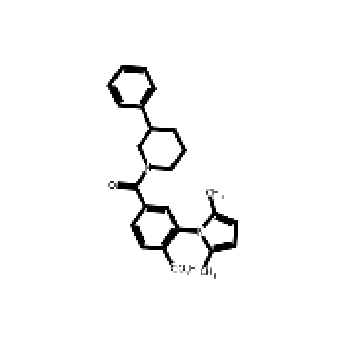 Cc1ccc(C)n1-c1cc(C(=O)N2CCCC(c3ccccc3)C2)ccc1C(=O)O